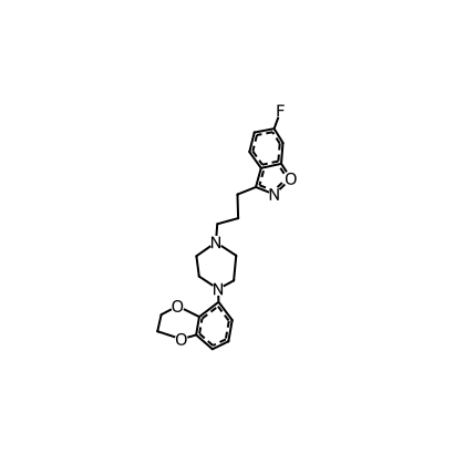 Fc1ccc2c(CCCN3CCN(c4cccc5c4OCCO5)CC3)noc2c1